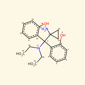 NC1(C(c2ccccc2O)(c2ccccc2O)N(CC(=O)O)CC(=O)O)CC1